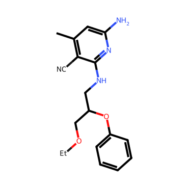 CCOCC(CNc1nc(N)cc(C)c1C#N)Oc1ccccc1